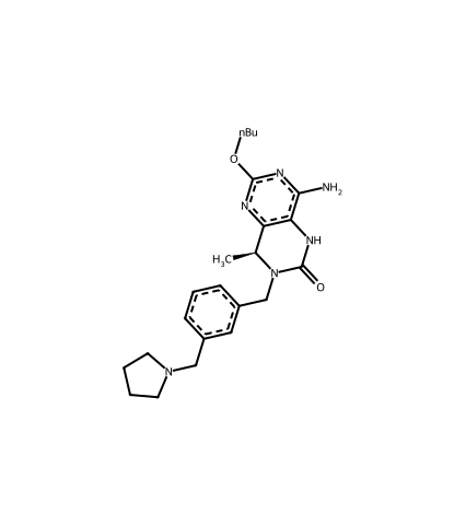 CCCCOc1nc(N)c2c(n1)[C@H](C)N(Cc1cccc(CN3CCCC3)c1)C(=O)N2